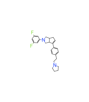 Fc1cc(F)cc(N2CC3CC=C(c4ccc(CCN5CCCC5)cc4)C3C2)c1